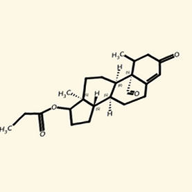 CCC(=O)OC1CC[C@H]2[C@@H]3CCC4=CC(=O)CC(C)[C@]4(C=O)[C@@H]3CC[C@]12C